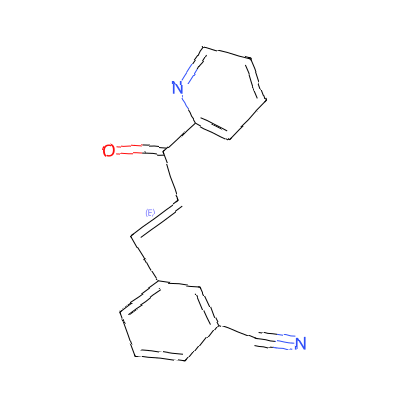 N#Cc1cccc(/C=C/C(=O)c2ccccn2)c1